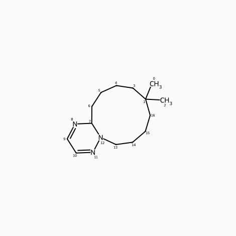 CC1(C)CCCCC2N=CC=NN2CCCC1